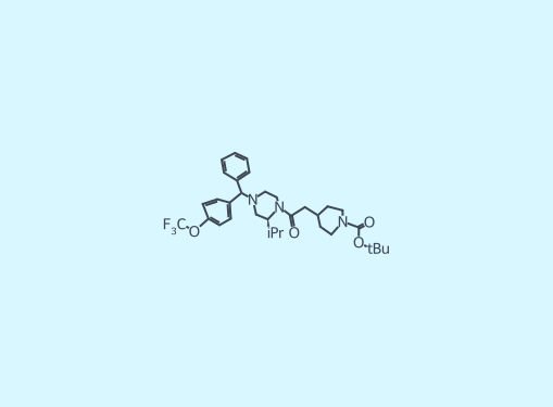 CC(C)[C@H]1CN(C(c2ccccc2)c2ccc(OC(F)(F)F)cc2)CCN1C(=O)CC1CCN(C(=O)OC(C)(C)C)CC1